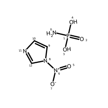 NP(=O)(O)O.O=[N+]([O-])n1ccnc1